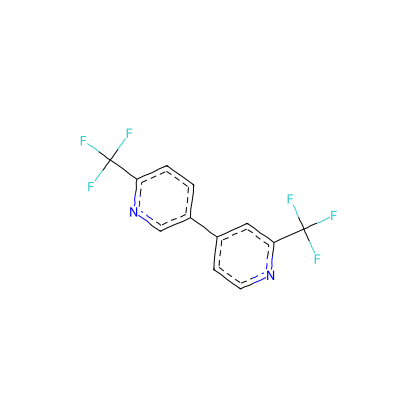 FC(F)(F)c1ccc(-c2ccnc(C(F)(F)F)c2)cn1